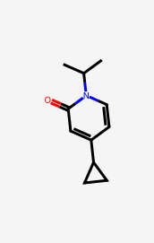 CC(C)n1ccc(C2CC2)cc1=O